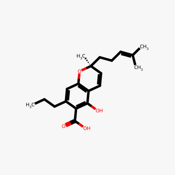 CCCc1cc2c(c(O)c1C(=O)O)C=C[C@](C)(CCC=C(C)C)O2